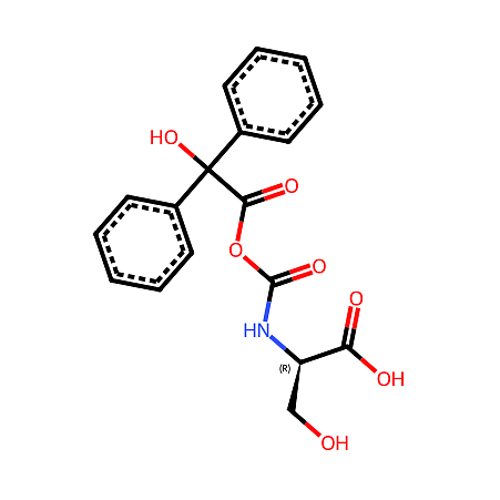 O=C(N[C@H](CO)C(=O)O)OC(=O)C(O)(c1ccccc1)c1ccccc1